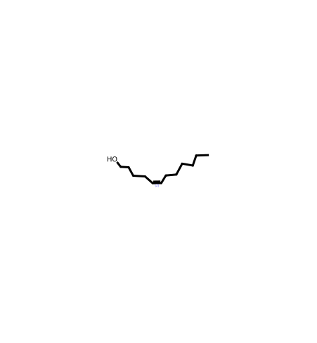 CCCCCC/C=C\CCCCO